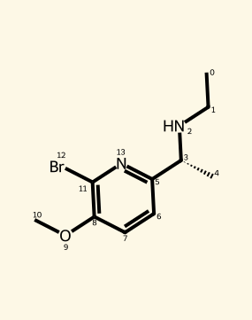 CCN[C@H](C)c1ccc(OC)c(Br)n1